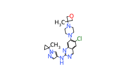 CC1(N2CCN(c3cc4nc(Nc5cnn(C6(C)CC6)c5)ncc4cc3Cl)CC2)COC1